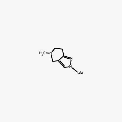 CN1CCc2nn(C(C)(C)C)cc2C1